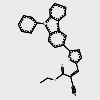 CCOC(=O)C(C#N)=Cc1ccc(-c2ccc3c(c2)c2ccccc2n3-c2ccccc2)s1